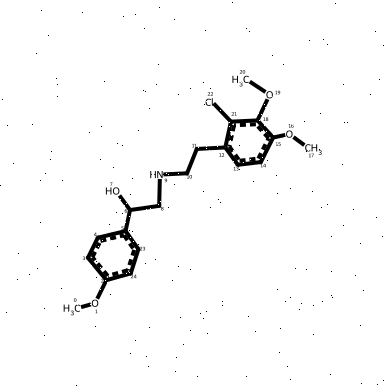 COc1ccc(C(O)CNCCc2ccc(OC)c(OC)c2Cl)cc1